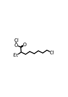 CCC(CCCCCCCl)C(=O)OCl